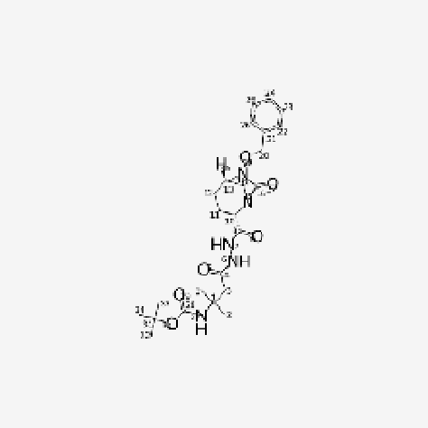 CC(C)(CC(=O)NNC(=O)[C@@H]1CC[C@H]2CN1C(=O)N2OCc1ccccc1)NC(=O)OC(C)(C)C